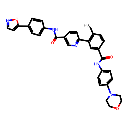 Cc1ccc(C(=O)Nc2ccc(N3CCOCC3)cc2)cc1-c1ccc(C(=O)Nc2ccc(-c3ccno3)cc2)cn1